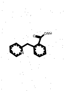 COC(=O)c1ccccc1Cc1ccccn1